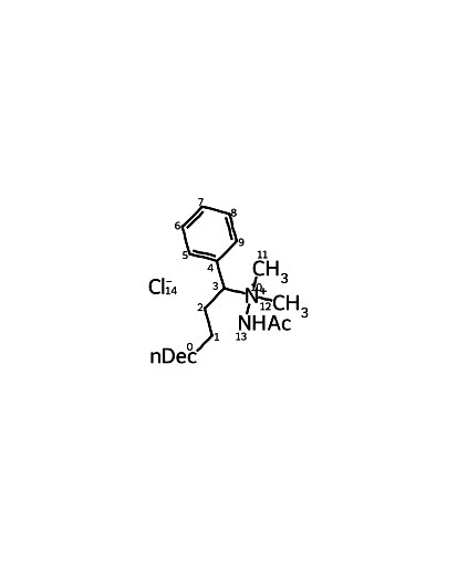 CCCCCCCCCCCCC(c1ccccc1)[N+](C)(C)NC(C)=O.[Cl-]